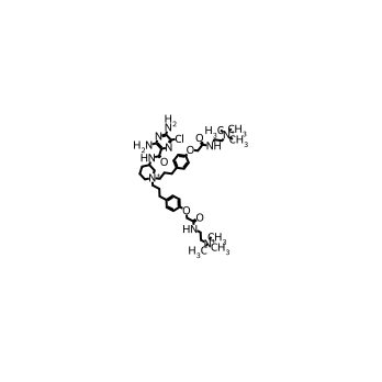 C[N+](C)(C)CCNC(=O)COc1ccc(CCC[N+]2(CCCc3ccc(OCC(=O)NCC[N+](C)(C)C)cc3)CCCC(NC(=O)c3nc(Cl)c(N)nc3N)C2)cc1